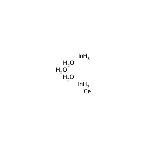 O.O.O.[Ce].[InH3].[InH3]